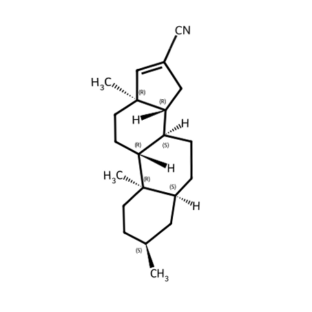 C[C@H]1CC[C@]2(C)[C@@H](CC[C@H]3[C@H]2CC[C@@]2(C)C=C(C#N)C[C@H]32)C1